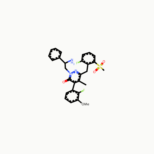 COc1cccc(-c2c(C)c(Cc3c(F)cccc3S(C)(=O)=O)nn(CC(N)c3ccccc3)c2=O)c1F